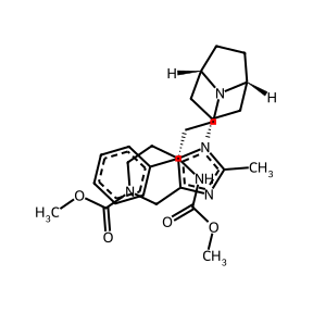 COC(=O)N[C@@H](CCN1[C@@H]2CC[C@H]1C[C@@H](n1c(C)nc3c1CCN(C(=O)OC)C3)C2)c1ccccc1